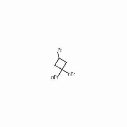 CCCC1(CCC)CC(C(C)C)C1